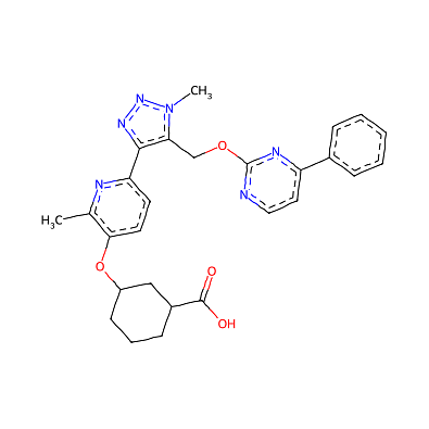 Cc1nc(-c2nnn(C)c2COc2nccc(-c3ccccc3)n2)ccc1OC1CCCC(C(=O)O)C1